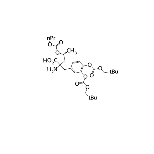 CCCOC(=O)O[C@@H](C)CC(N)(Cc1ccc(OC(=O)OCC(C)(C)C)c(OC(=O)OCC(C)(C)C)c1)C(=O)O